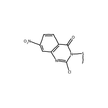 O=c1c2ccc([N+](=O)[O-])cc2nc(Cl)n1SF